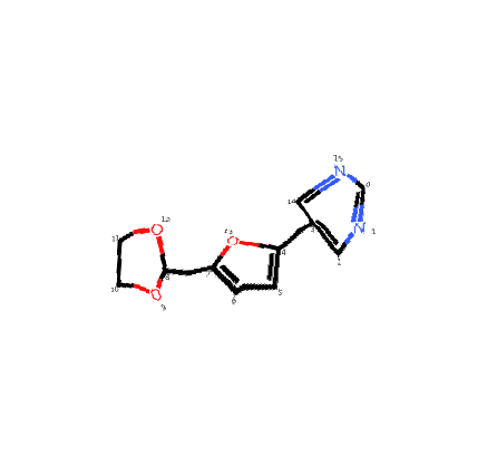 c1ncc(-c2ccc(C3OCCO3)o2)cn1